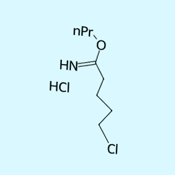 CCCOC(=N)CCCCCl.Cl